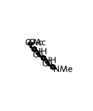 CNc1ccc(COC(=O)Nc2ccc(COC(=O)Nc3ccc(C=C(COC(C)=O)COC(C)=O)cc3)cc2)cc1